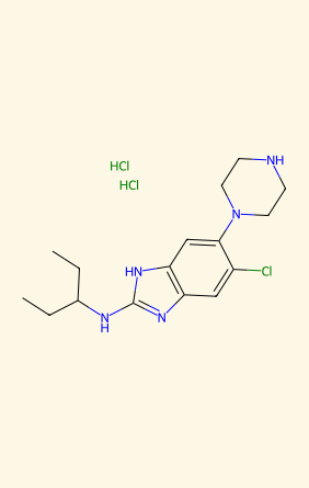 CCC(CC)Nc1nc2cc(Cl)c(N3CCNCC3)cc2[nH]1.Cl.Cl